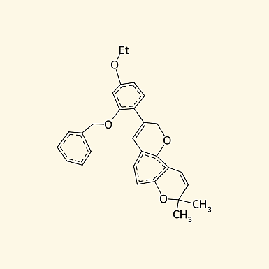 CCOc1ccc(C2=Cc3ccc4c(c3OC2)C=CC(C)(C)O4)c(OCc2ccccc2)c1